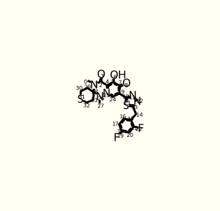 CN1C(=O)c2c(O)c(=O)c(-c3nnc(Cc4ccc(F)cc4F)s3)cn2N(C)C12CCSCC2